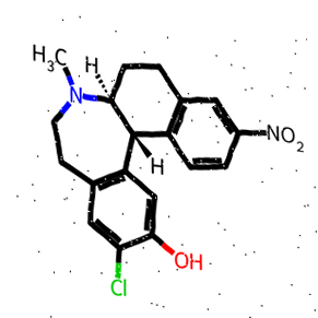 CN1CCc2cc(Cl)c(O)cc2[C@H]2c3ccc([N+](=O)[O-])cc3CC[C@@H]21